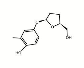 Cc1cc(O[C@H]2CC[C@@H](CO)O2)ccc1O